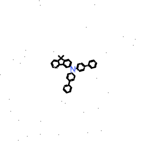 CC1(C)c2ccccc2-c2cc(N(c3ccc(-c4ccccc4)cc3)C3C=CC(c4ccccc4)=CC3)ccc21